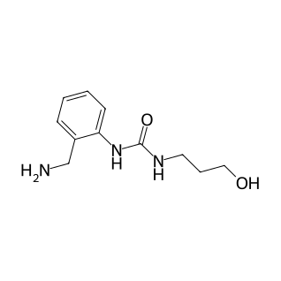 NCc1ccccc1NC(=O)NCCCO